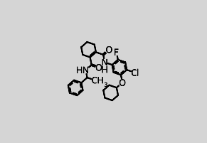 CC(NC(=O)C1=C(C(=O)Nc2cc(OC3CCCCC3)c(Cl)cc2F)CCCC1)c1ccccc1